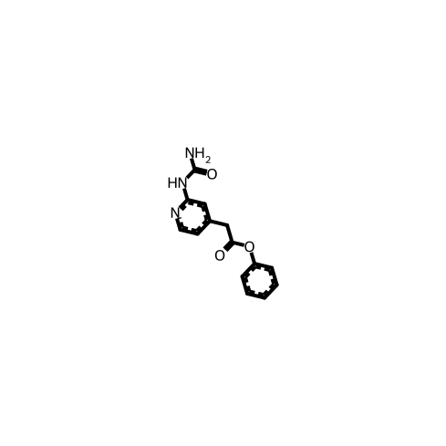 NC(=O)Nc1cc(CC(=O)Oc2ccccc2)ccn1